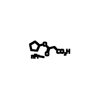 CCCC.O=C(O)CC(=O)OC1CCCC1